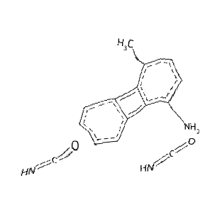 Cc1ccc(N)c2c1=c1ccccc1=2.N=C=O.N=C=O